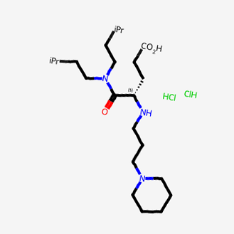 CC(C)CCN(CCC(C)C)C(=O)[C@H](CCC(=O)O)NCCCN1CCCCC1.Cl.Cl